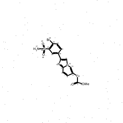 COC(=O)Oc1ccc2nc(-c3ccc(Br)c(S(N)(=O)=O)c3)cn2c1